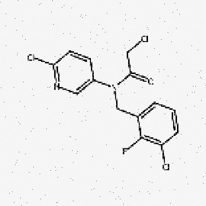 O=C(CCl)N(Cc1cccc(Cl)c1F)c1ccc(Cl)nc1